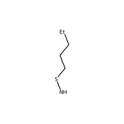 CCCCCS[NH]